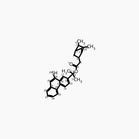 CC1C2CC(CC(=O)OC(C)(C)c3ccc4c(c3)c(S)cc3ccccc34)C(C2)C1C